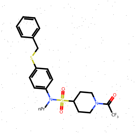 CCCN(c1ccc(SCc2ccccc2)cc1)S(=O)(=O)C1CCN(C(=O)C(F)(F)F)CC1